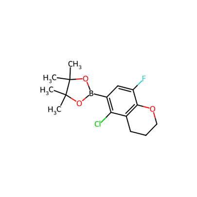 CC1(C)OB(c2cc(F)c3c(c2Cl)CCCO3)OC1(C)C